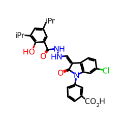 CC(C)c1cc(C(=O)NNC=C2C(=O)N(c3cccc(C(=O)O)c3)c3cc(Cl)ccc32)c(O)c(C(C)C)c1